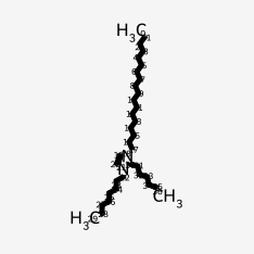 CCCCCCCCCCCCCCCCCCn1cc[n+](CCCCCCCC)c1CCCCCC